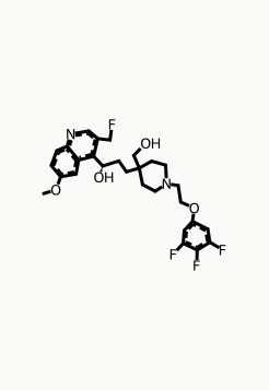 COc1ccc2ncc(CF)c([C@@H](O)CCC3(CO)CCN(CCOc4cc(F)c(F)c(F)c4)CC3)c2c1